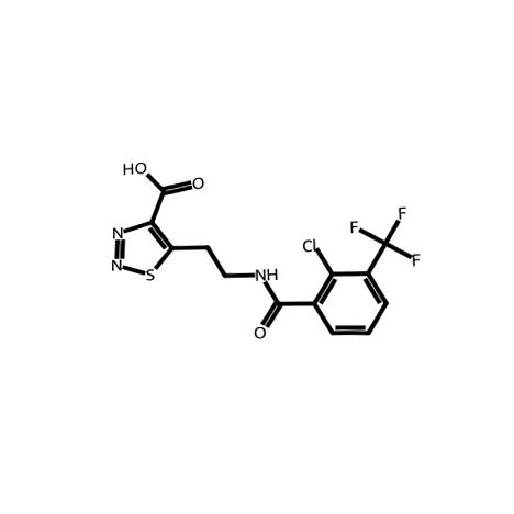 O=C(NCCc1snnc1C(=O)O)c1cccc(C(F)(F)F)c1Cl